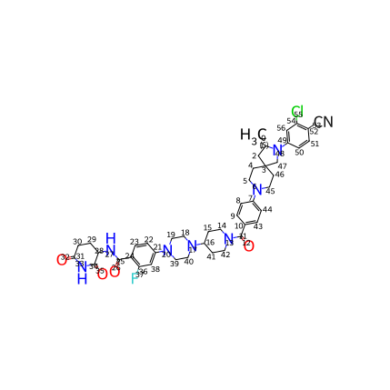 C[C@H]1CC2(CCN(c3ccc(C(=O)N4CCC(N5CCN(c6ccc(C(=O)NC7CCC(=O)NC7=O)c(F)c6)CC5)CC4)cc3)CC2)CN1c1ccc(C#N)c(Cl)c1